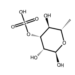 C[C@@H]1O[C@@H](O)[C@H](O)[C@H](OS(=O)(=O)O)[C@H]1O